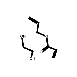 C=CCOC(=O)C=C.OCCO